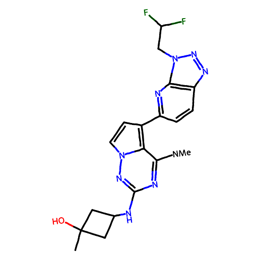 CNc1nc(NC2CC(C)(O)C2)nn2ccc(-c3ccc4nnn(CC(F)F)c4n3)c12